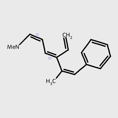 C=C/C(=C\C=C/NC)C(C)=Cc1ccccc1